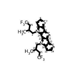 CC(Cn1c2ccsc2c2sc3c4sccc4n(CC(C)CC(F)(F)F)c3c21)CC(F)(F)F